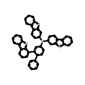 c1ccc(-c2ccc(N(c3ccc4c(c3)sc3ccccc34)c3ccc4c(c3)sc3ccccc34)cc2-c2cccc3c2oc2ccccc23)cc1